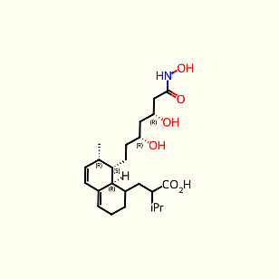 CC(C)C(CC1CCC=C2C=C[C@H](C)[C@H](CC[C@@H](O)C[C@@H](O)CC(=O)NO)[C@H]21)C(=O)O